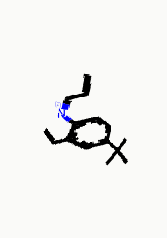 C=C/C=N\c1ccc(C(C)(C)C)cc1C=C